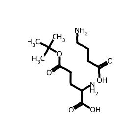 CC(C)(C)OC(=O)CCC(N)C(=O)O.NCCCC(=O)O